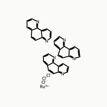 [Cl-].[Cl-].[Cl-].[Ru+3].c1cnc2c(c1)ccc1ncccc12.c1cnc2c(c1)ccc1ncccc12.c1cnc2c(c1)ccc1ncccc12